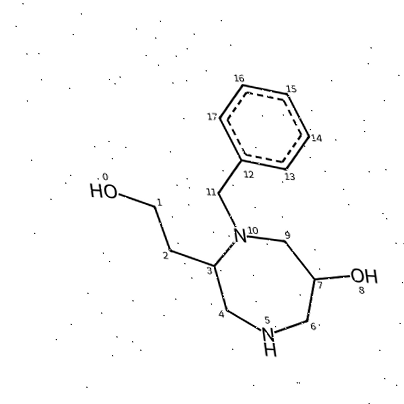 OCCC1CNCC(O)CN1Cc1ccccc1